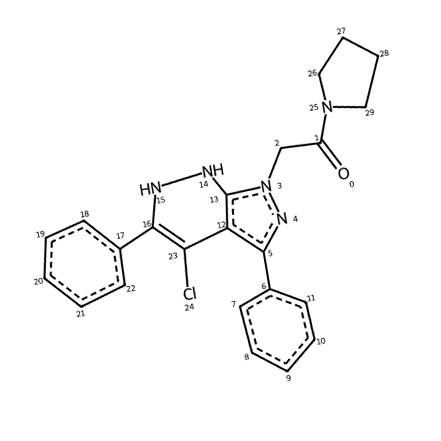 O=C(Cn1nc(-c2ccccc2)c2c1NNC(c1ccccc1)=C2Cl)N1CCCC1